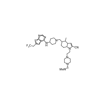 CNSN1CCN(CCN2C(C#N)=CC3C(C)C(CN4CCC(Nc5ncnc6sc(CC(F)(F)F)cc56)CC4)CCC32)CC1